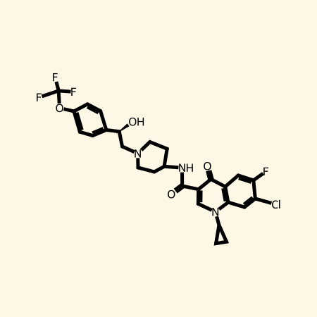 O=C(NC1CCN(C[C@H](O)c2ccc(OC(F)(F)F)cc2)CC1)c1cn(C2CC2)c2cc(Cl)c(F)cc2c1=O